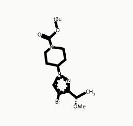 CO[C@@H](C)c1nn(C2CCN(C(=O)OC(C)(C)C)CC2)cc1Br